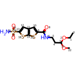 CCOC(CCNC(=O)c1cc2cc(S(N)(=O)=O)sc2s1)OC